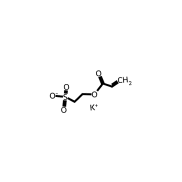 C=CC(=O)OCCS(=O)(=O)[O-].[K+]